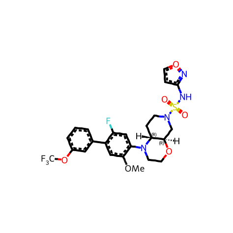 COc1cc(-c2cccc(OC(F)(F)F)c2)c(F)cc1N1CCO[C@@H]2CN(S(=O)(=O)Nc3ccon3)CC[C@H]21